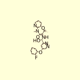 C[C@H]1Oc2cccnc2N(C)C(=O)[C@H]1NC(O)c1cc(Oc2ccccc2F)cnn1